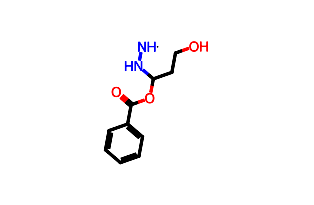 [NH]NC(CCO)OC(=O)c1ccccc1